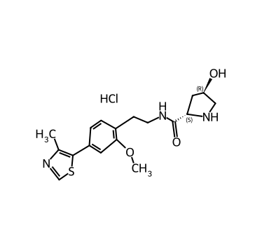 COc1cc(-c2scnc2C)ccc1CCNC(=O)[C@@H]1C[C@@H](O)CN1.Cl